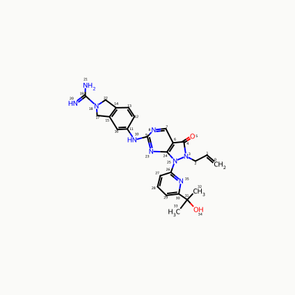 C=CCn1c(=O)c2cnc(Nc3ccc4c(c3)CN(C(=N)N)C4)nc2n1-c1cccc(C(C)(C)O)n1